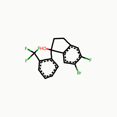 OC1(c2ccccc2C(F)(F)F)CCc2cc(F)c(Br)cc21